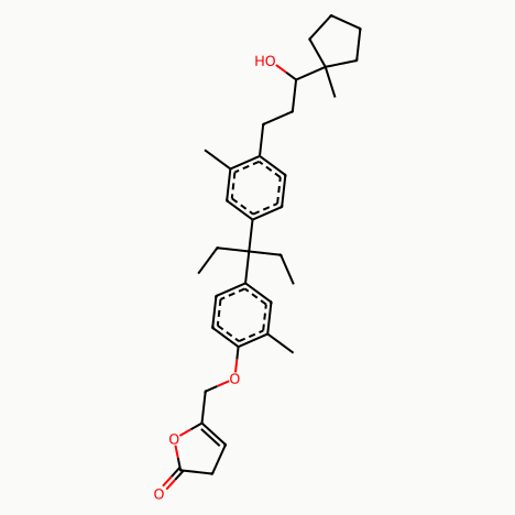 CCC(CC)(c1ccc(CCC(O)C2(C)CCCC2)c(C)c1)c1ccc(OCC2=CCC(=O)O2)c(C)c1